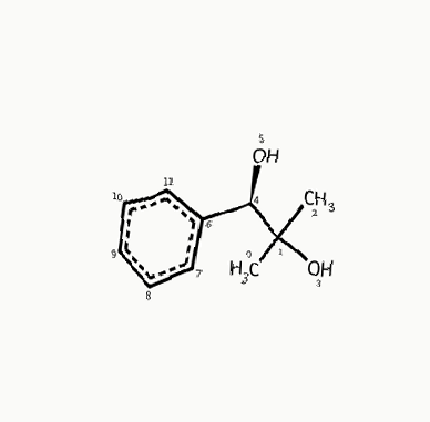 CC(C)(O)[C@H](O)c1ccccc1